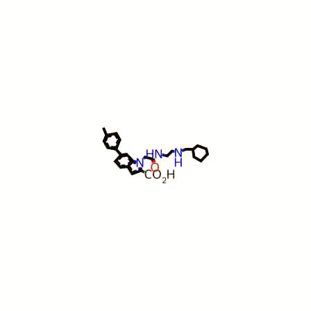 Cc1ccc(-c2ccc3cc(C(=O)O)n(CC(=O)NCCNCC4CCCCC4)c3c2)cc1